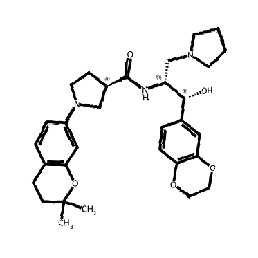 CC1(C)CCc2ccc(N3CC[C@@H](C(=O)N[C@H](CN4CCCC4)[C@H](O)c4ccc5c(c4)OCCO5)C3)cc2O1